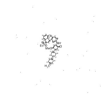 CCS(=O)(=O)n1cc(-c2nc(Nc3cc(OC)c(N4CCC(N5CCN(C)CC5)CC4)cc3Cl)ncc2Cl)c2ccccc21